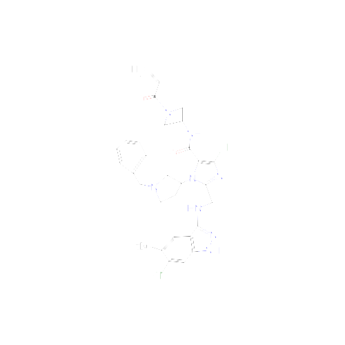 C=CC(=O)N1CC(NC(=O)c2c(Cl)nc(CNc3n[nH]c4cc(Cl)c(C(C)(C)C)cc34)n2C2CCN(Cc3ccccc3)C2)C1